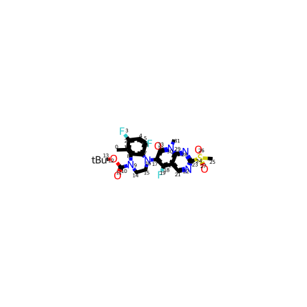 Cc1c(F)cc(F)c2c1N(C(=O)OC(C)(C)C)CCN2c1c(F)c2cnc(S(C)(=O)=O)nc2n(C)c1=O